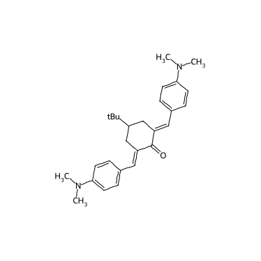 CN(C)c1ccc(C=C2CC(C(C)(C)C)CC(=Cc3ccc(N(C)C)cc3)C2=O)cc1